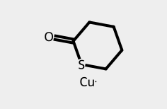 O=C1CCCCS1.[Cu]